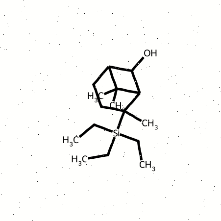 CC[Si](CC)(CC)C1(C)CCC2C(O)C1C2(C)C